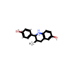 CC1Cc2cc(Br)ccc2NC1c1ccc(Br)cc1